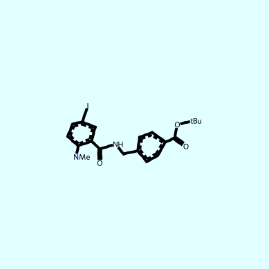 CNc1ccc(I)cc1C(=O)NCc1ccc(C(=O)OC(C)(C)C)cc1